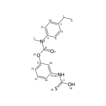 CCc1ccc(N(C)C(=O)Oc2cccc(NC(O)=S)c2)cc1